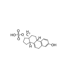 C[C@]12CC[C@H]3C(=CCc4cc(O)ccc43)[C@@H]1CC[C@@H]2OS(=O)(=O)O